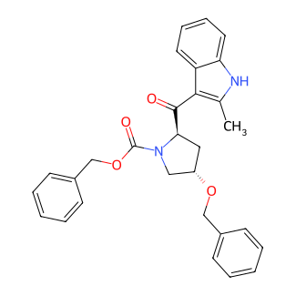 Cc1[nH]c2ccccc2c1C(=O)[C@H]1C[C@H](OCc2ccccc2)CN1C(=O)OCc1ccccc1